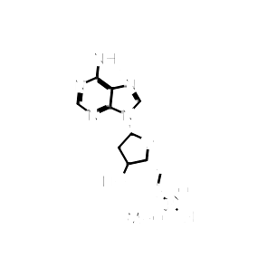 COP(=O)(O)OC[C@H]1O[C@@H](n2cnc3c(N)ncnc32)CC1O